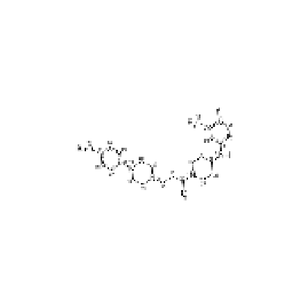 Cc1ccc(NC2CCN(C(=O)CCN3CCN(c4ccc(OCC(C)C)cc4)CC3)CC2)cc1C(F)(F)F